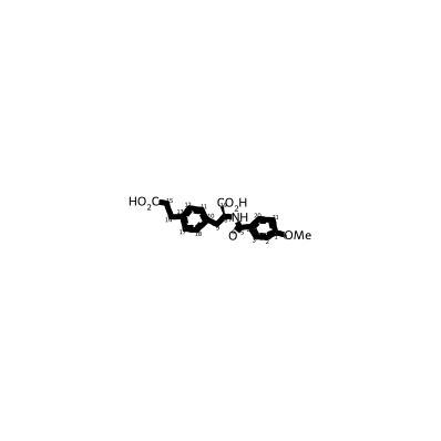 COc1ccc(C(=O)N[C@@H](Cc2ccc(CCC(=O)O)cc2)C(=O)O)cc1